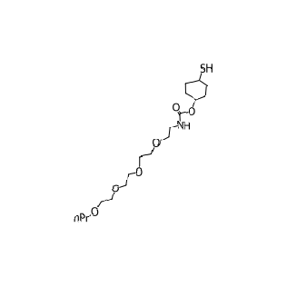 CCCOCCOCCOCCOCCNC(=O)OC1CCC(S)CC1